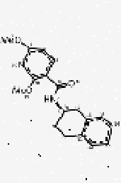 COc1ccc(C(=O)N[C@@H]2CCc3ccccc3C2)c(OC)n1